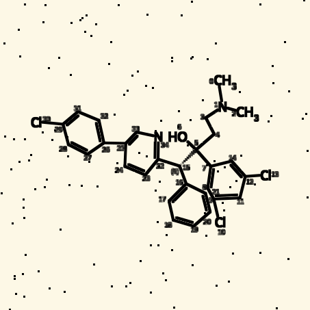 CN(C)CCC(O)(c1cc(Cl)cc(Cl)c1)[C@H](c1ccccc1)c1ccc(-c2ccc(Cl)cc2)cn1